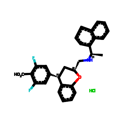 C[C@@H](NC[C@H]1C[C@@H](c2cc(F)c(C(=O)O)c(F)c2)c2ccccc2O1)c1cccc2ccccc12.Cl